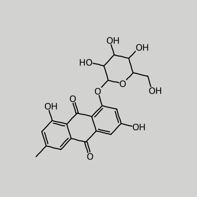 Cc1cc(O)c2c(c1)C(=O)c1cc(O)cc(OC3OC(CO)C(O)C(O)C3O)c1C2=O